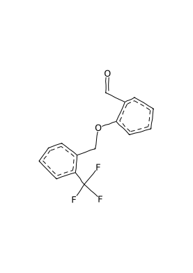 O=Cc1ccccc1OCc1ccccc1C(F)(F)F